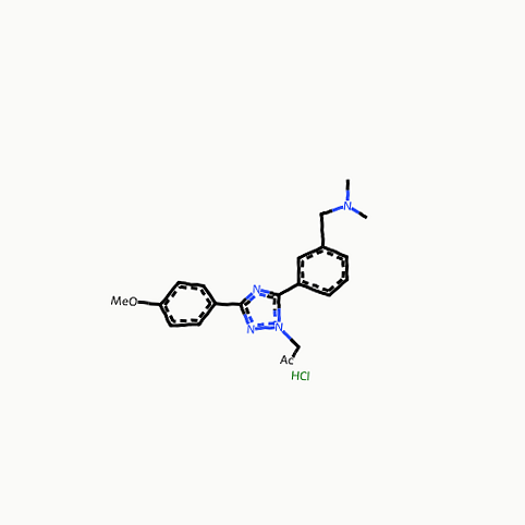 COc1ccc(-c2nc(-c3cccc(CN(C)C)c3)n(CC(C)=O)n2)cc1.Cl